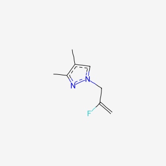 C=C(F)Cn1cc(C)c(C)n1